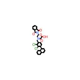 O=C(O)C(=O)N(CCN1C(=O)c2ccccc2C1=O)Cc1ccc(-c2cccc3ccccc23)c(Cl)c1Cl